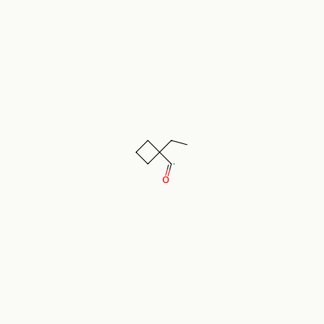 CCC1([C]=O)CCC1